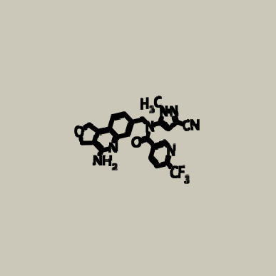 Cn1nc(C#N)cc1N(Cc1ccc2c3c(c(N)nc2c1)COC3)C(=O)c1ccc(C(F)(F)F)nc1